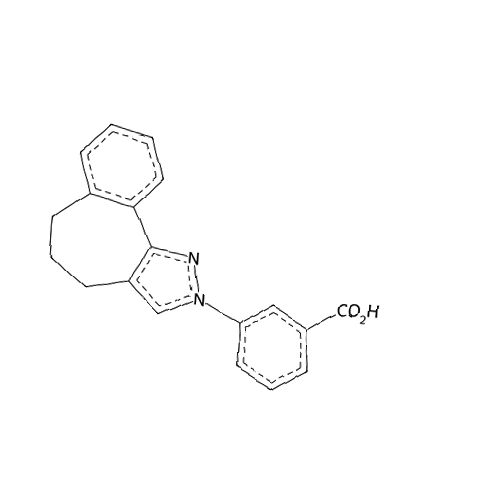 O=C(O)c1cccc(-n2cc3c(n2)-c2ccccc2CCC3)c1